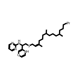 CC(=CCSCC(Nc1ncccn1)C1=COC=CN1)CCCC(C)CCCC(C)CCCC(C)C